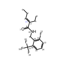 CC/C=C(\CC)C(=O)NCc1c(F)cccc1C(F)(F)F